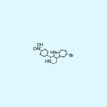 O=[N+](O)c1ccc(C2NCCc3c2[nH]c2ccc(Br)cc32)cc1